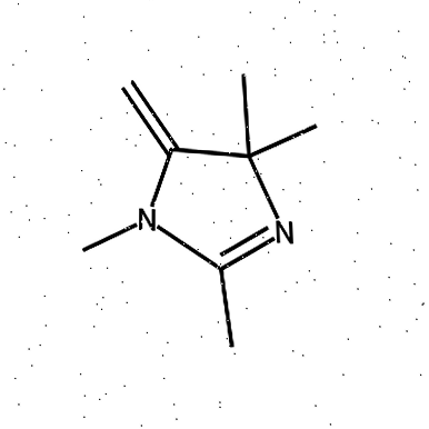 C=C1N(C)C(C)=NC1(C)C